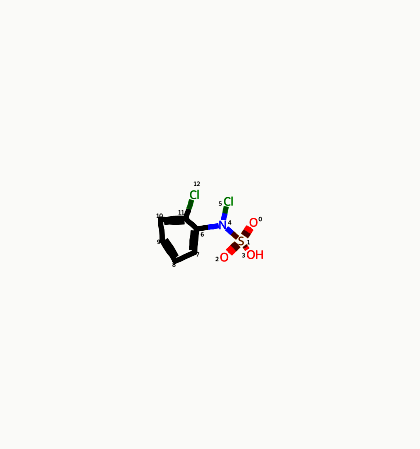 O=S(=O)(O)N(Cl)c1ccccc1Cl